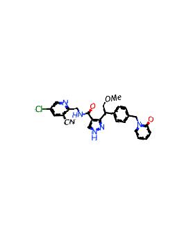 COCC(c1ccc(Cn2ccccc2=O)cc1)c1n[nH]cc1C(=O)NCc1ncc(Cl)cc1C#N